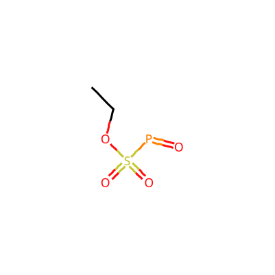 CCOS(=O)(=O)P=O